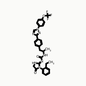 CCc1ccccc1N1C(=O)CN/C1=N\C(=O)NC(C)Cc1ccc(-c2ncn(-c3ccc(OC(F)(F)F)cc3)n2)cc1